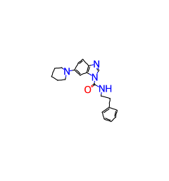 O=C(NCCc1ccccc1)n1cnc2ccc(N3CCCCC3)cc21